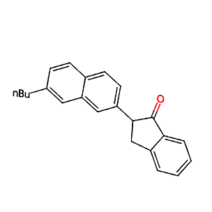 CCCCc1ccc2ccc(C3Cc4ccccc4C3=O)cc2c1